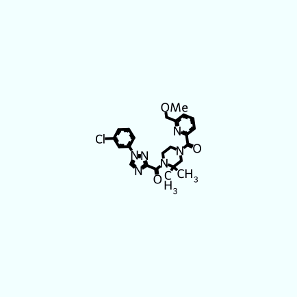 COCc1cccc(C(=O)N2CCN(C(=O)c3ncn(-c4cccc(Cl)c4)n3)C(C)(C)C2)n1